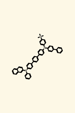 C[Si](C)(C)c1ccc(N(c2ccc(-c3ccccc3)cc2)c2ccc(-c3ccc(-c4ccc(N(c5ccccc5)c5ccc6ccccc6c5)cc4)cc3)cc2)cc1